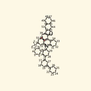 CC1(C)c2ccccc2-c2c(N(c3ccc(-c4cccc(-c5ccccc5)c4)cc3)c3ccccc3-c3cccc4c3oc3cc5ccccc5cc34)cccc21